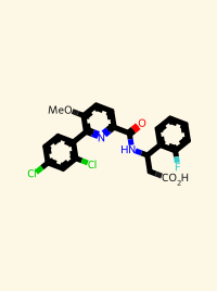 COc1ccc(C(=O)NC(CC(=O)O)c2ccccc2F)nc1-c1ccc(Cl)cc1Cl